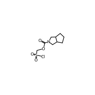 O=C(OCS(=O)(=O)Cl)N1CC2CCCC2C1